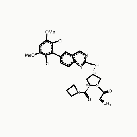 C=CC(=O)N1C[C@@H](Nc2ncc3cc(-c4c(Cl)c(OC)cc(OC)c4Cl)ccc3n2)C[C@H]1C(=O)N1CCC1